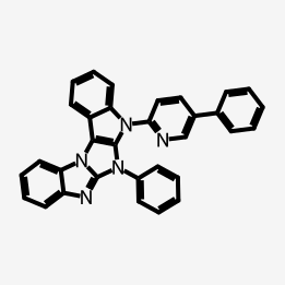 c1ccc(-c2ccc(-n3c4ccccc4c4c3n(-c3ccccc3)c3nc5ccccc5n43)nc2)cc1